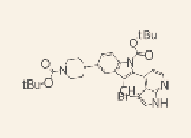 Cc1c(-c2ccnc3[nH]cc(Br)c23)n(C(=O)OC(C)(C)C)c2ccc(C3CCN(C(=O)OC(C)(C)C)CC3)cc12